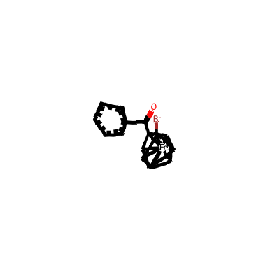 O=C(c1ccccc1)[C]12[CH]3[CH]4[CH]5[CH]1[Fe]45321678[CH]2[CH]1[CH]6[C]7(Br)[CH]28